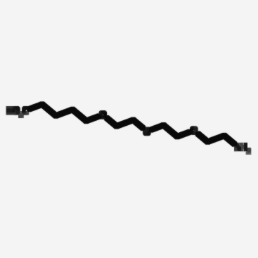 NCCOCCOCCOCCCCC(=O)O